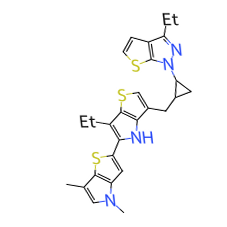 CCc1nn(C2CC2Cc2csc3c(CC)c(-c4cc5c(s4)c(C)cn5C)[nH]c23)c2sccc12